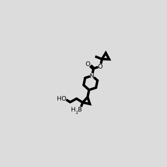 BC1(CCO)CC1C1CCN(C(=O)OC2(C)CC2)CC1